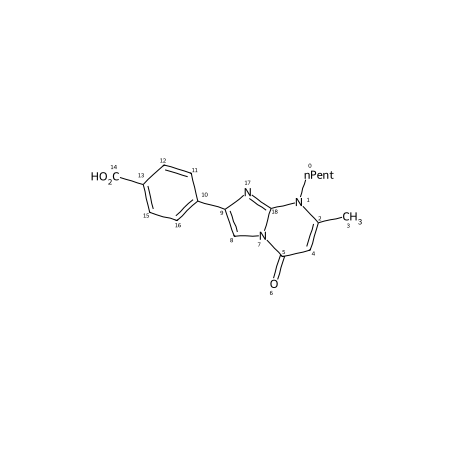 CCCCCn1c(C)cc(=O)n2cc(-c3ccc(C(=O)O)cc3)nc12